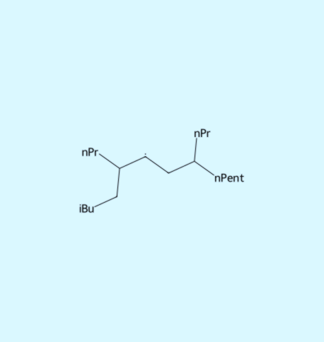 CCCCCC(C[CH]C(CCC)CC(C)CC)CCC